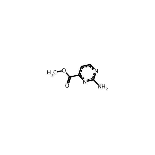 COC(=O)c1ccnc(N)n1